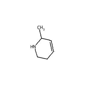 CC1C=[C]CCN1